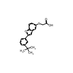 CC(C)(C)c1cccc(-c2cc3cc(SCC(=O)O)ccc3o2)c1